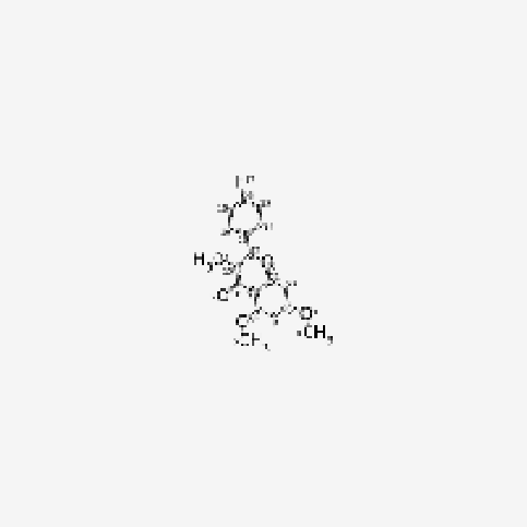 COc1cc(OC)c2c(=O)c(C)c(-c3ccc(F)cc3)oc2c1